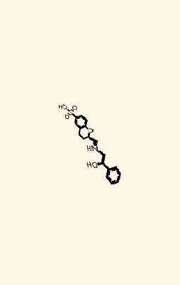 O=S(=O)(O)c1ccc2c(c1)CCC(CNCC(O)c1ccccc1)O2